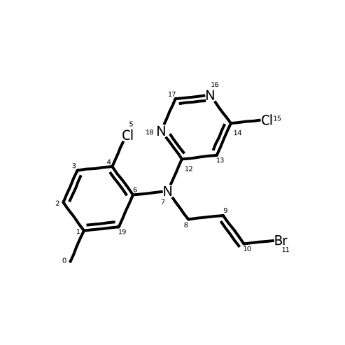 Cc1ccc(Cl)c(N(C/C=C/Br)c2cc(Cl)ncn2)c1